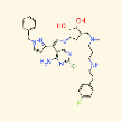 CN(CCCNCCc1ccc(F)cc1)C[C@H]1C[C@@H](n2cc(-c3ccn(Cc4ccccc4)n3)c3c(N)nc(Cl)nc32)[C@H](O)[C@@H]1O